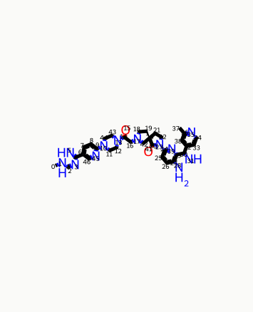 CN/C=N\C(=N)c1ccc(N2CCN(C(=O)CN3CC[C@]4(CCN(c5ccc(N)c(C(=N)c6ccnc(C)c6)n5)C4=O)C3)CC2)nc1